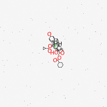 C[C@@H]1C[C@H]2[C@@H]3CCC4=CC(=O)C=C[C@]4(C)[C@@]3(F)[C@@H](OC(=O)C3CC3)C[C@]2(C)[C@@]1(O)C(=O)COC(=O)C1CCCCC1